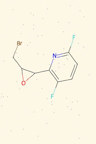 Fc1ccc(F)c(C2OC2CBr)n1